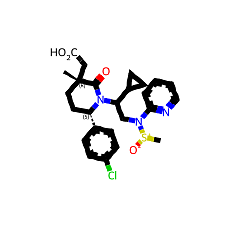 C[S+]([O-])N(CC(C1CC1)N1C(=O)[C@@](C)(CC(=O)O)CC[C@H]1c1ccc(Cl)cc1)c1ccccn1